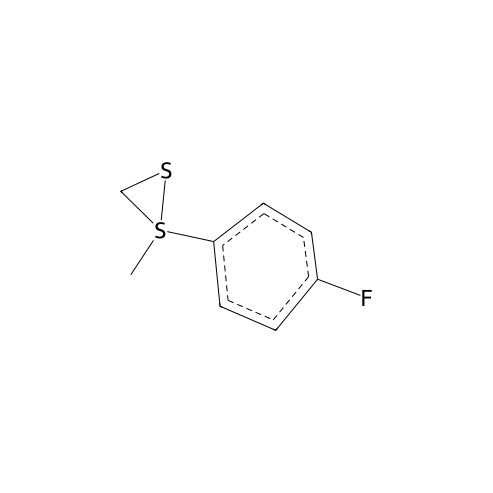 CS1(c2ccc(F)cc2)CS1